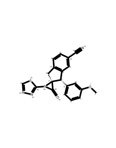 COc1cccc([C@H]2c3cc(C#N)ccc3C[C@@]23C(=O)N3c2nncs2)c1